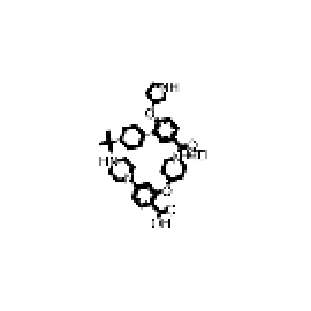 CC(C)(C)[C@H]1CC[C@H](c2cc(C(=O)N3CCC(Oc4cc(N5CCNCC5)ccc4C(=O)O)CC3)ccc2O[C@H]2CCNC2)CC1.Cl.Cl